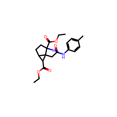 CCOC(=O)C1C2CCC(N)(C(=O)OCC)C21CC(=O)Nc1ccc(C)cc1